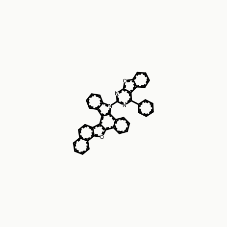 c1ccc(-c2nc(-n3c4ccccc4c4c5c6ccc7ccccc7c6oc5c5ccccc5c43)nc3oc4ccccc4c23)cc1